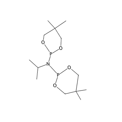 CC(C)N(P1OCC(C)(C)CO1)P1OCC(C)(C)CO1